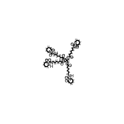 O=C(CCCCCNC(=O)N1CCCCCC1=O)OCC(COC(=O)CCCCCNC(=O)N1CCCCCC1=O)(COC(=O)CCCCCNC(=O)N1CCCCCC1=O)COC(=O)CCCCCNC(=O)N1CCCCCC1=O